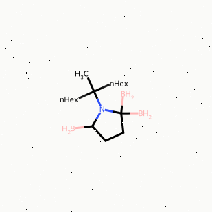 BC1CCC(B)(B)N1C(C)(CCCCCC)CCCCCC